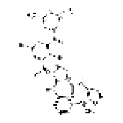 CNc1cncc(C(=O)N2C[C@H](Nc3c(C(=O)N4C[C@@H](C)O[C@@H](C)C4)cc(Br)cc3[N+](=O)[O-])C[C@H]2C(=O)Nc2cnoc2)c1